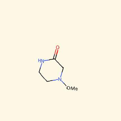 CON1CCNC(=O)C1